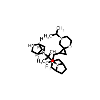 CC(C)N1CCOC2(CC2CC(C)N2C3CCC2CN(C(C)(C)N2C[C@H]4C[C@@H]2CN4)C3)C1